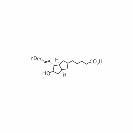 CCCCCCCCCC/C=C/[C@@H]1[C@H]2CC(CCCCC(=O)O)C[C@H]2C[C@H]1O